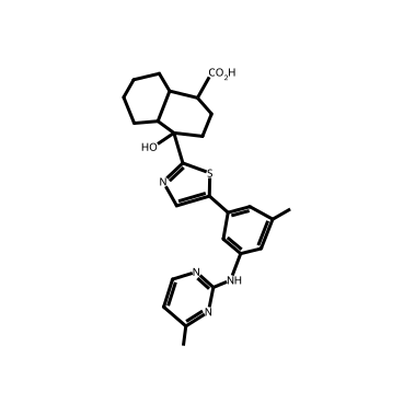 Cc1cc(Nc2nccc(C)n2)cc(-c2cnc(C3(O)CCC(C(=O)O)C4CCCCC43)s2)c1